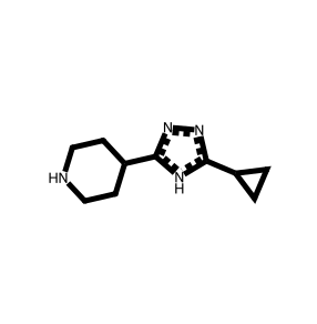 C1CC(c2nnc(C3CC3)[nH]2)CCN1